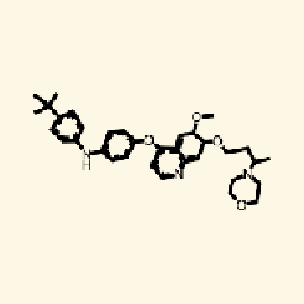 COC1C=c2c(Oc3ccc(Nc4ccc(C(C)(C)C)cc4)cc3)ccnc2=CC1OCCC(C)N1CCOCC1